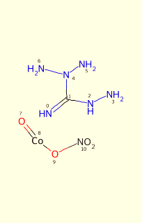 N=C(NN)N(N)N.[O]=[Co][O][N+](=O)[O-]